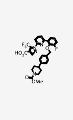 COC(=O)N1CCC(c2ccc(COc3c(F)cccc3-c3cccc(-n4ncc(C(=O)O)c4C(F)(F)F)n3)cc2)CC1